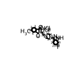 Cc1ccc2c(c1)C(=O)N(CCN1CCN(c3n[nH]c4cc(F)ccc34)CC1)C2=O.Cl.Cl